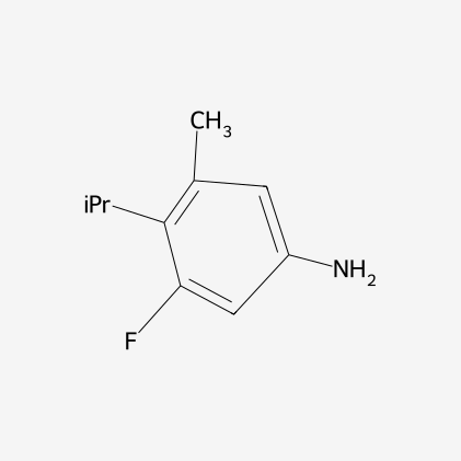 Cc1cc(N)cc(F)c1C(C)C